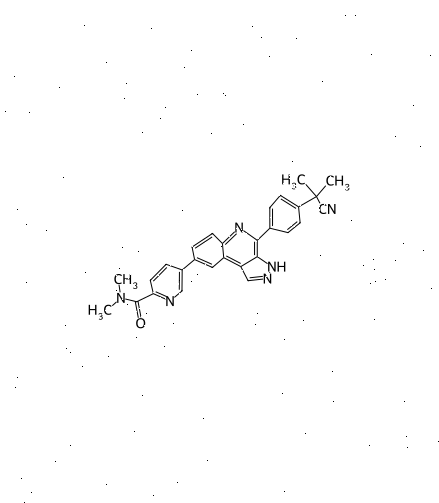 CN(C)C(=O)c1ccc(-c2ccc3nc(-c4ccc(C(C)(C)C#N)cc4)c4[nH]ncc4c3c2)cn1